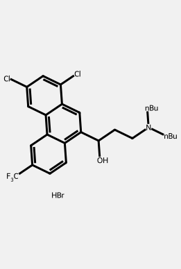 Br.CCCCN(CCCC)CCC(O)c1cc2c(Cl)cc(Cl)cc2c2cc(C(F)(F)F)ccc12